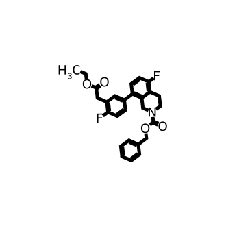 CCOC(=O)Cc1cc(-c2ccc(F)c3c2CN(C(=O)OCc2ccccc2)CC3)ccc1F